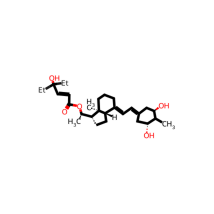 CCC(O)(/C=C/C(=O)O[C@@H](C)[C@H]1CC[C@H]2/C(=C/C=C3C[C@@H](O)C(C)[C@H](O)C3)CCC[C@]12C)CC